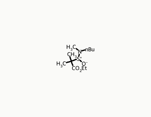 CCCCN(C)[S+]([O-])C(C)(C)C(=O)OCC